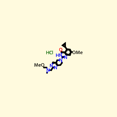 COCCN(C)Cc1ncc2c(n1)CCN(c1nc3cc(OC)cc(C4CC4)c3c(=O)[nH]1)C2.Cl